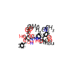 CCCC[C@]1(CC)CS(=O)(=O)c2ccc(N(C)C)cc2[C@@H](c2cccc(NC(=O)N[C@@H]3O[C@H](COS(=O)(=O)OC)[C@@H](O)[C@H](OCc4ccccc4)[C@H]3O)c2)[C@H]1O